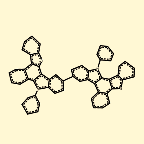 c1ccc(-n2c3ccc(-c4ccc5c(c4)c4c6ccccc6c6sc7ccccc7c6c4n5-c4ccccc4)cc3c3c4sc5ccccc5c4c4ccccc4c32)cc1